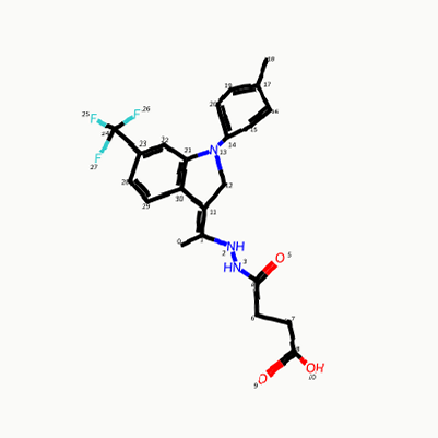 C/C(NNC(=O)CCC(=O)O)=C1/CN(c2ccc(C)cc2)c2cc(C(F)(F)F)ccc21